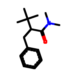 CN(C)C(=O)C(Cc1ccccc1)C(C)(C)C